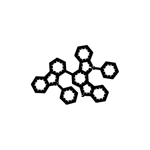 c1ccc(-n2c3ccccc3c3cccc(-c4cc5sc6ccccc6c5c5c4c4ccccc4n5-c4ccccc4)c32)cc1